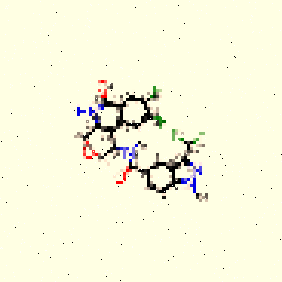 CN(C(=O)c1ccc2c(c1)c(C(F)F)nn2C)[C@H]1COCc2[nH]c(=O)c3cc(F)c(F)cc3c21